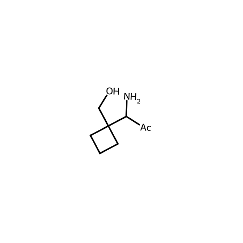 CC(=O)C(N)C1(CO)CCC1